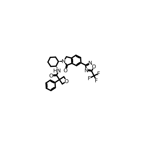 O=C1c2cc(-c3noc(C(F)(F)F)n3)ccc2CN1[C@@H]1CCCC[C@H]1NC(=O)C1(c2ccccc2)COC1